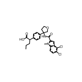 CCCC(C(=O)O)c1ccc(C2(NC(=O)c3cc4c(Cl)c(Cl)ccc4n3C)CCOC2)cc1